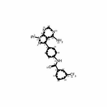 CC(C)n1nc(-c2ccc(NC(=O)c3cccc(C(F)(F)F)c3)cc2)c2c(N)ncnc21